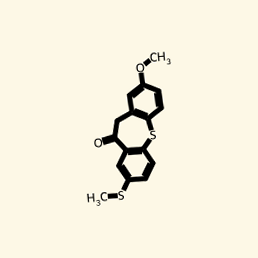 COc1ccc2c(c1)CC(=O)c1cc(SC)ccc1S2